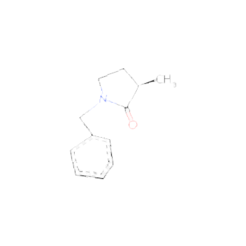 C[C@@H]1CCN(Cc2ccccc2)C1=O